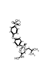 CC(C)CN(CC(=O)NO)S(=O)(=O)c1ccc(Oc2ccc(S(C)(=O)=O)cc2)cc1